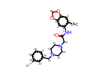 CC(=O)c1cc2c(cc1NC(=O)CN1CCN(Cc3cccc(F)c3)CC1)OCO2